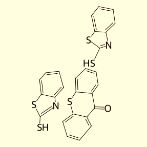 O=c1c2ccccc2sc2ccccc12.Sc1nc2ccccc2s1.Sc1nc2ccccc2s1